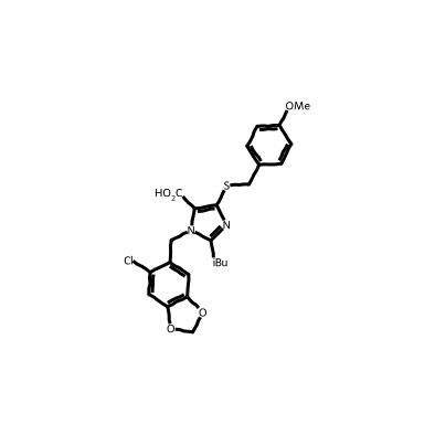 CCC(C)c1nc(SCc2ccc(OC)cc2)c(C(=O)O)n1Cc1cc2c(cc1Cl)OCO2